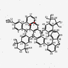 Cc1cc2c3c(c1)N(c1ccc(C(C)(C)C)cc1-c1ccccc1)c1cc4c(cc1B3c1ccc(-c3cccc5sc6ccccc6c35)cc1N2c1cc2c(cc1C)C(C)(C)CC2(C)C)C(C)(C)CCC4(C)C